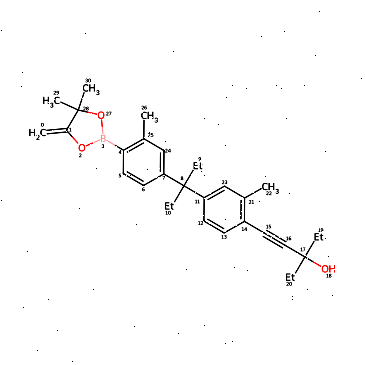 C=C1OB(c2ccc(C(CC)(CC)c3ccc(C#CC(O)(CC)CC)c(C)c3)cc2C)OC1(C)C